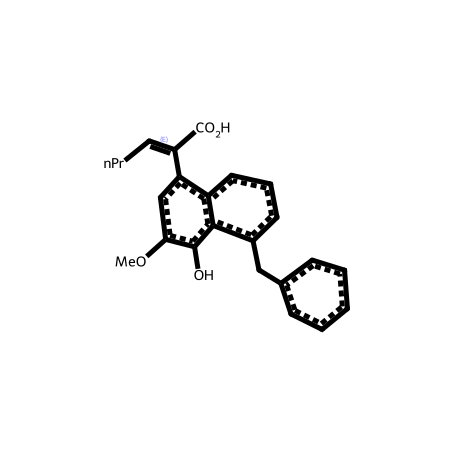 CCC/C=C(/C(=O)O)c1cc(OC)c(O)c2c(Cc3ccccc3)cccc12